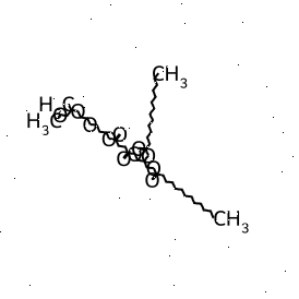 CCCCCCCCCCCCCC(=O)OCC(COC(=O)CCC(=O)OCCCOCCOC(C)COC)OC(=O)CCCCCCCCCCCCC